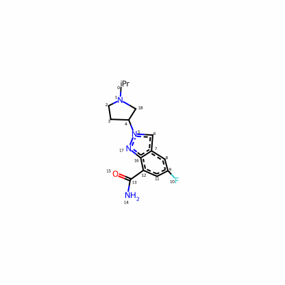 CC(C)N1CCC(n2cc3cc(F)cc(C(N)=O)c3n2)C1